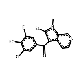 CCc1c(C(=O)c2cc(F)c(O)c(Cl)c2)c2ccncc2n1C